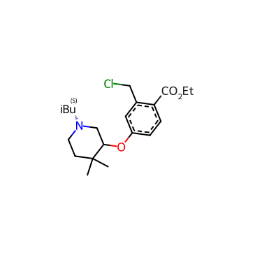 CCOC(=O)c1ccc(OC2CN([C@@H](C)CC)CCC2(C)C)cc1CCl